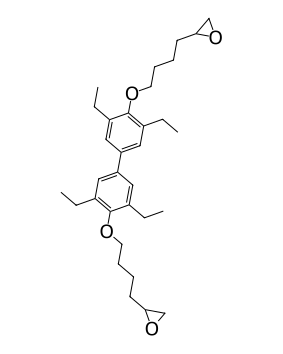 CCc1cc(-c2cc(CC)c(OCCCCC3CO3)c(CC)c2)cc(CC)c1OCCCCC1CO1